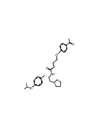 CC(=O)c1ccc(OCCCC(=O)N[C@@H](Cc2ccc(OC(C)C)cc2)CN2CCCC2)cc1